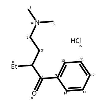 CCC(CCN(C)C)C(=O)c1ccccc1.Cl